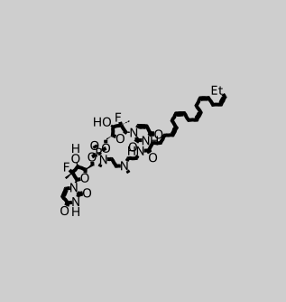 CC/C=C\C/C=C\C/C=C\C/C=C\C/C=C\CCCC(=O)NCCN(C)CCN(C)P(=O)(OC[C@H]1O[C@@H](n2ccc(=O)[nH]c2=O)[C@](C)(F)[C@@H]1O)OC[C@H]1O[C@@H](n2ccc(=O)[nH]c2=O)[C@](C)(F)[C@@H]1O